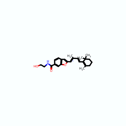 CC1=C(C=C/C(C)=C/c2cc3ccc(C(=O)NCCO)cc3o2)C(C)(C)CCC1